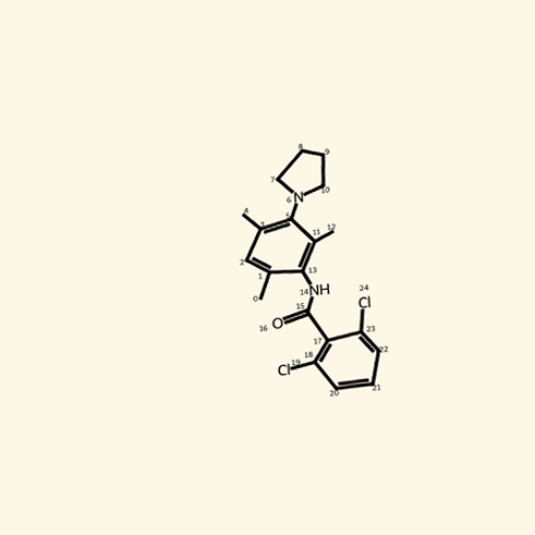 Cc1cc(C)c(N2CCCC2)c(C)c1NC(=O)c1c(Cl)cccc1Cl